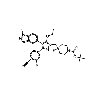 CCOc1c(-c2ccc3c(cnn3C)c2)c(-c2ccc(C#N)c(F)c2)nn1CC1(F)CCN(C(=O)OC(C)(C)C)CC1